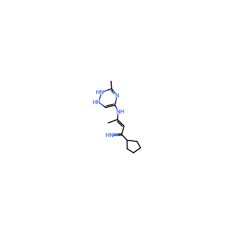 CC1=NC(N/C(C)=C/C(=N)C2CCCC2)=CNN1